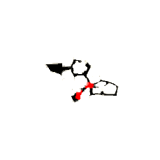 C#CCN1C2CCC1CC(C#N)(c1cncc(C#C)c1)C2